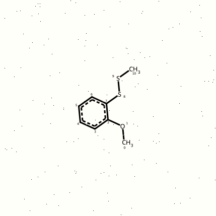 COc1ccccc1SSC